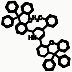 Cc1ccccc1C1=CC(c2cccc3c2Oc2ccccc2C3(c2ccccc2)c2ccccc2)NC(C2=C3Oc4ccccc4C(c4ccccc4)(c4ccccc4)C3CC=C2)=C1